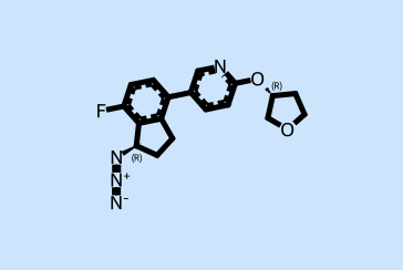 [N-]=[N+]=N[C@@H]1CCc2c(-c3ccc(O[C@@H]4CCOC4)nc3)ccc(F)c21